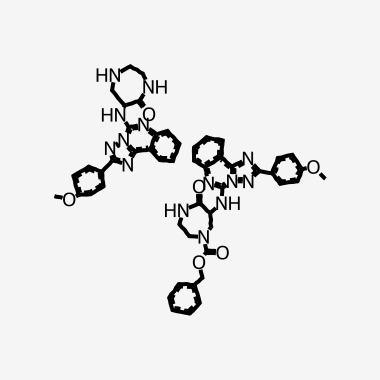 COc1ccc(-c2nc3c4ccccc4nc(NC4CN(C(=O)OCc5ccccc5)CCNC4=O)n3n2)cc1.COc1ccc(-c2nc3c4ccccc4nc(NC4CNCCNC4=O)n3n2)cc1